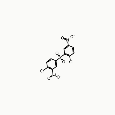 O=[N+]([O-])c1ccc(Cl)c(S(=O)(=O)c2ccc(Cl)c([N+](=O)[O-])c2)c1